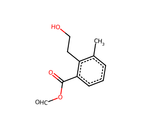 Cc1cccc(C(=O)OC=O)c1CCO